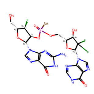 Nc1nc2c(ncn2[C@@H]2O[C@H](CO)[C@@H](F)[C@H]2OP(=O)(S)OC[C@H]2O[C@@H](n3cnc4c(=O)[nH]cnc43)C(F)(F)[C@@H]2O)c(=O)[nH]1